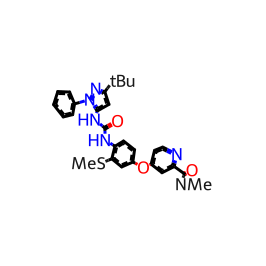 CNC(=O)c1cc(Oc2ccc(NC(=O)Nc3cc(C(C)(C)C)nn3-c3ccccc3)c(SC)c2)ccn1